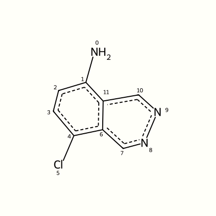 Nc1ccc(Cl)c2cnncc12